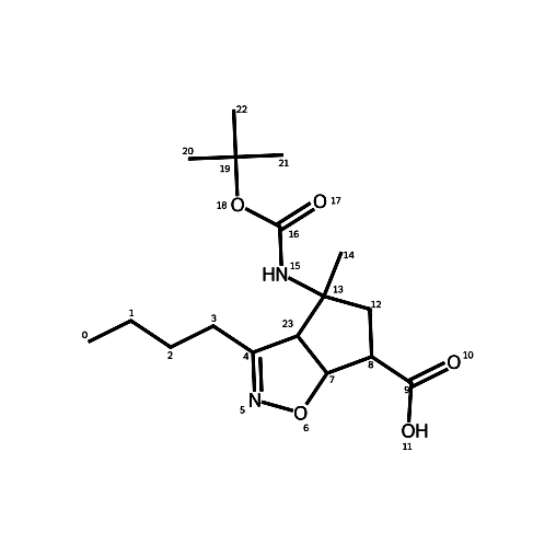 CCCCC1=NOC2C(C(=O)O)CC(C)(NC(=O)OC(C)(C)C)C12